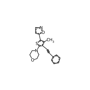 Cc1c(-c2ccno2)sc(N2CCOCC2)c1C#Cc1ccccc1